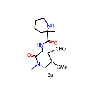 CC[C@H](C)[C@@H]([C@@H](CC=O)OC)N(C)C(=O)CNC(=O)[C@]1(C)CCCCN1